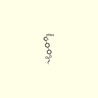 C/C=C/C(=O)Oc1ccc(-c2ccc(-c3ccc(CCCCCC)s3)cc2)cc1